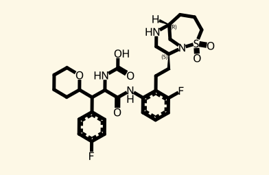 O=C(O)NC(C(=O)Nc1cccc(F)c1CC[C@H]1CN[C@@H]2CCCS(=O)(=O)N1C2)C(c1ccc(F)cc1)C1CCCCO1